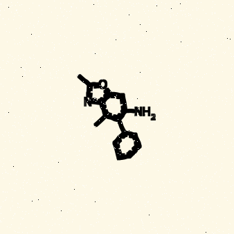 Cc1nc2c(C)c(-c3ccccc3)c(N)cc2o1